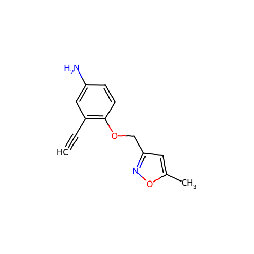 C#Cc1cc(N)ccc1OCc1cc(C)on1